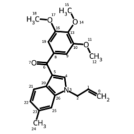 C=CCn1cc(C(=O)c2cc(OC)c(OC)c(OC)c2)c2ccc(C)cc21